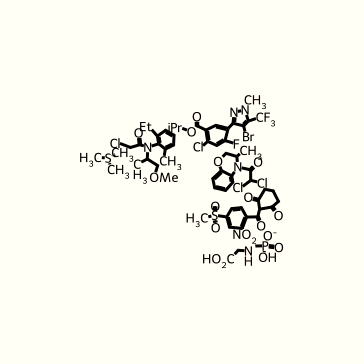 CC(C)OC(=O)c1cc(-c2nn(C)c(C(F)(F)F)c2Br)c(F)cc1Cl.CC1COc2ccccc2N1C(=O)C(Cl)Cl.CCc1cccc(C)c1N(C(=O)CCl)C(C)COC.CS(=O)(=O)c1ccc(C(=O)C2C(=O)CCCC2=O)c([N+](=O)[O-])c1.C[S+](C)C.O=C(O)CNCP(=O)([O-])O